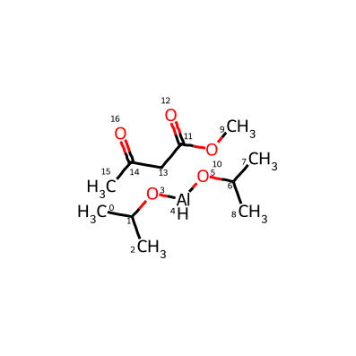 CC(C)[O][AlH][O]C(C)C.COC(=O)CC(C)=O